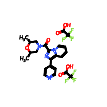 CC1CN(C(=O)c2nc(-c3ccncc3)c3ccccn23)CC(C)O1.O=C(O)C(F)(F)F.O=C(O)C(F)(F)F